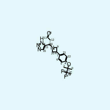 CC(C)(Oc1ccc(C2CN([C@@H](CC=O)c3cnn[nH]3)C2)cc1)C(F)(F)F